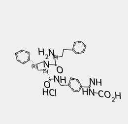 Cl.N=C(NC(=O)O)c1ccc(CNC(=O)[C@@H]2C[C@H](c3ccccc3)CN2C(=O)[C@H](N)CCc2ccccc2)cc1